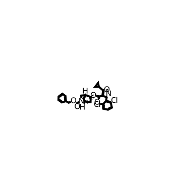 O=C(O[C@H]1C[C@@H]2C[C@H]1CN2C(=O)OCc1ccccc1)c1c(-c2c(Cl)cccc2Cl)noc1C1CC1